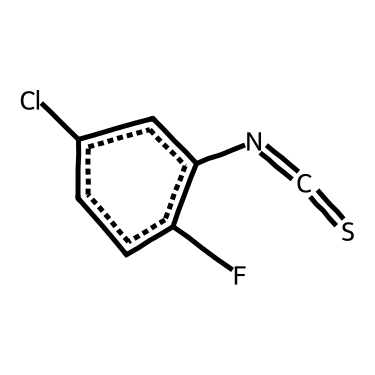 Fc1ccc(Cl)cc1N=C=S